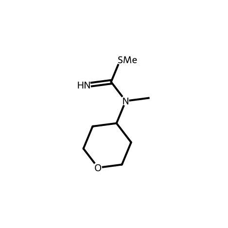 CSC(=N)N(C)C1CCOCC1